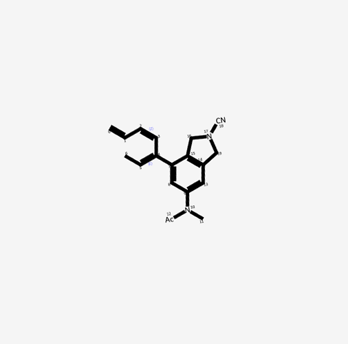 C=C/C=C\C(=C/C)c1cc(N(C)C(C)=O)cc2c1CN(C#N)C2